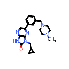 CN1CCN(Cc2cccc(-c3cnc4[nH]c(=O)n(CC5CC5)c4n3)c2)CC1